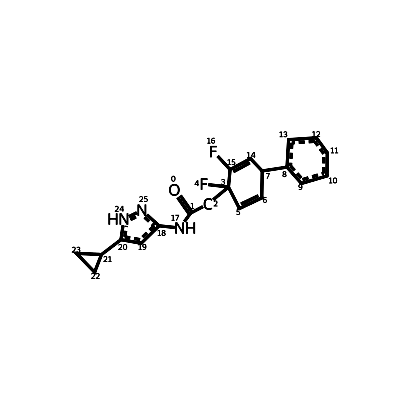 O=C(CC1(F)C=CC(c2ccccc2)C=C1F)Nc1cc(C2CC2)[nH]n1